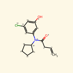 C=CCC(=O)N(c1cc(O)cc(Cl)c1)C1CCCC1